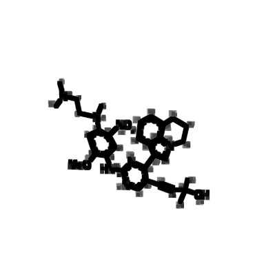 COc1cc(N(C)CCN(C)C)c([N+](=O)[O-])cc1Nc1ncc(C#CC(C)(C)O)c(-c2cn3c4c(cccc24)CCC3)n1